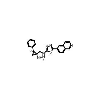 N[C@]1(CNc2nnc(-c3ccc4cnccc4c3)s2)C[C@H]1c1ccccc1